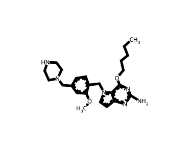 CCCCCOc1nc(N)nc2ccn(Cc3ccc(CN4CCNCC4)cc3OC)c12